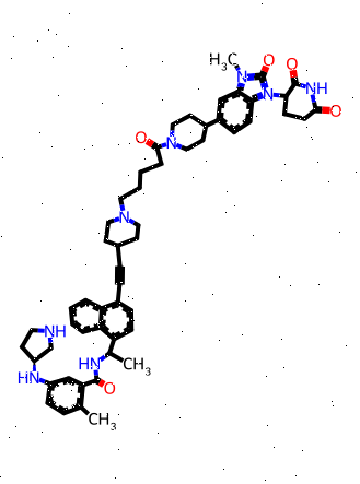 Cc1ccc(N[C@H]2CCNC2)cc1C(=O)NC(C)c1ccc(C#CC2CCN(CCCCC(=O)N3CCC(c4ccc5c(c4)n(C)c(=O)n5C4CCC(=O)NC4=O)CC3)CC2)c2ccccc12